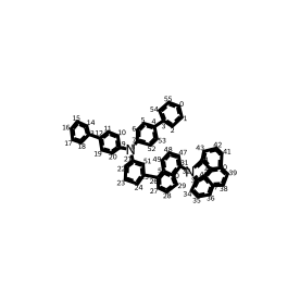 c1ccc(-c2ccc(N(c3ccc(-c4ccccc4)cc3)c3cccc(-c4cccc5c(-n6c7cccc8ccc9cccc6c9c87)cccc45)c3)cc2)cc1